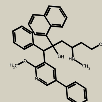 CNC(CCO)CC(O)(c1cccc2ccccc12)C(c1ccccc1)c1cc(-c2ccccc2)cnc1OC